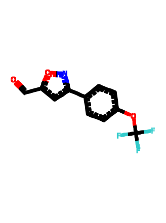 O=[C]c1cc(-c2ccc(OC(F)(F)F)cc2)no1